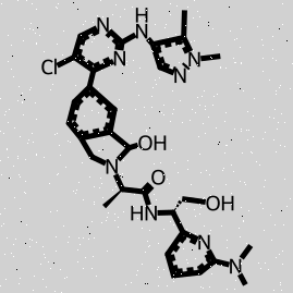 Cc1c(Nc2ncc(Cl)c(-c3ccc4c(c3)C(O)N([C@H](C)C(=O)N[C@H](CO)c3cccc(N(C)C)n3)C4)n2)cnn1C